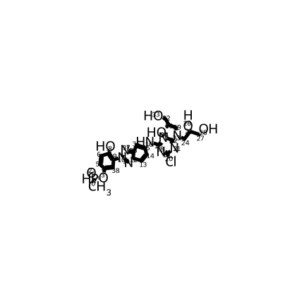 C[PH](=O)Oc1ccc(O)c(-n2nc3ccc(Nc4nc(Cl)nc(N(CC(O)CO)CC(O)CO)n4)cc3n2)c1